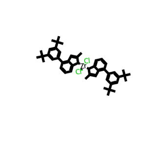 CC1=Cc2c(-c3cc(C(C)(C)C)cc(C(C)(C)C)c3)cccc2[CH]1[Zr]([Cl])([Cl])[CH]1C(C)=Cc2c(-c3cc(C(C)(C)C)cc(C(C)(C)C)c3)cccc21